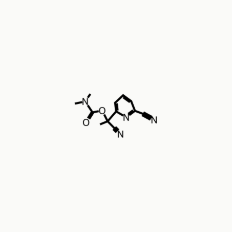 CN(C)C(=O)OC(C)(C#N)c1cccc(C#N)n1